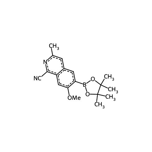 COc1cc2c(C#N)nc(C)cc2cc1B1OC(C)(C)C(C)(C)O1